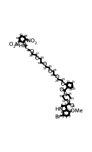 COc1ccc(Br)c2[nH]cc(C(=O)N3CCN(C(=O)c4ccccc4OCCOCCOCCOCCOCCOCCNc4c([N+](=O)[O-])cccc4[N+](=O)[O-])CC3)c12